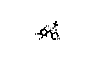 CC(C)(C)[S@+]([O-])N[C@@H](c1c(O)cc(Cl)c(Cl)c1F)C1CCNCC1